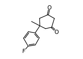 CC1(c2ccc(F)cc2)CC(=O)CC(=O)C1